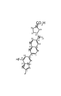 Cc1cn2cc(-c3ccc4cc(N(C)[C@@H]5CCN(C(=O)O)C5)cnc4n3)cc(F)c2n1